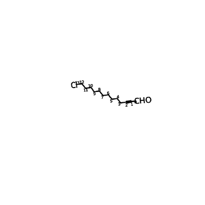 O=CC#CCCCCCCCCCCCl